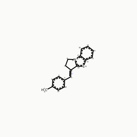 Cc1ccc(/C=C2\CC[n+]3c2sc2ccccc23)cc1